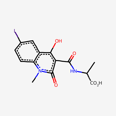 CC(NC(=O)c1c(O)c2cc(I)ccc2n(C)c1=O)C(=O)O